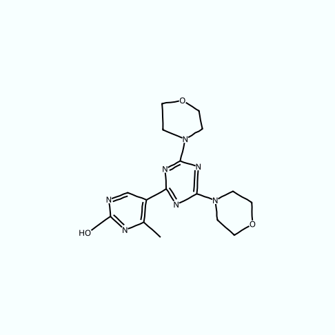 Cc1nc(O)ncc1-c1nc(N2CCOCC2)nc(N2CCOCC2)n1